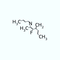 C=C(/C=C/C)\C(F)=C(C)/N=C\C=C\C